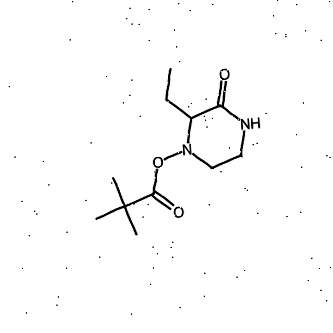 CCC1C(=O)NCCN1OC(=O)C(C)(C)C